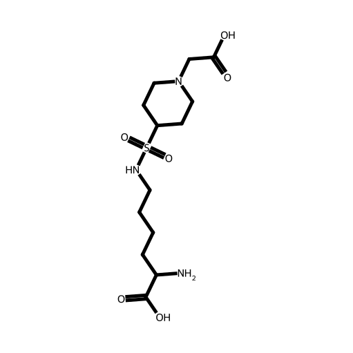 NC(CCCCNS(=O)(=O)C1CCN(CC(=O)O)CC1)C(=O)O